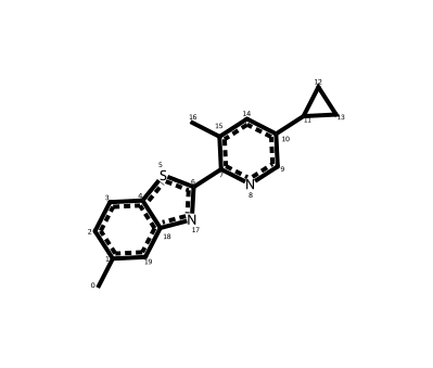 Cc1ccc2sc(-c3ncc(C4CC4)cc3C)nc2c1